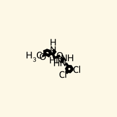 COc1ccc2[nH]cc(CC(=O)NC(=N)NCc3cc(Cl)cc(Cl)c3)c2c1